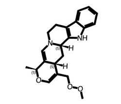 COOCC1=CO[C@@H](C)C2=CN3CCc4c([nH]c5ccccc45)[C@@H]3C[C@H]12